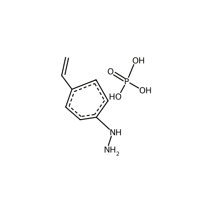 C=Cc1ccc(NN)cc1.O=P(O)(O)O